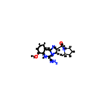 COc1cccc2c1nc(N)n1cc(C(=O)N3CCCC3C)nc21